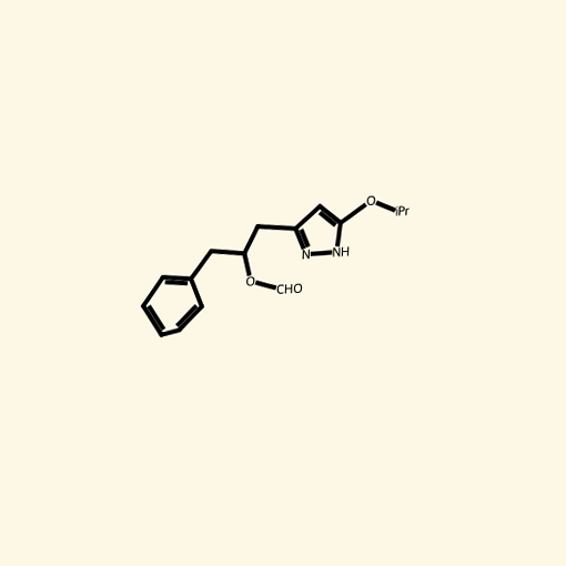 CC(C)Oc1cc(CC(Cc2ccccc2)OC=O)n[nH]1